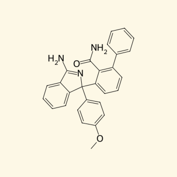 COc1ccc(C2(c3cccc(-c4ccccc4)c3C(N)=O)N=C(N)c3ccccc32)cc1